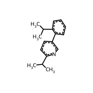 CC(C)c1ccc(-c2ccccc2C(C)C)cn1